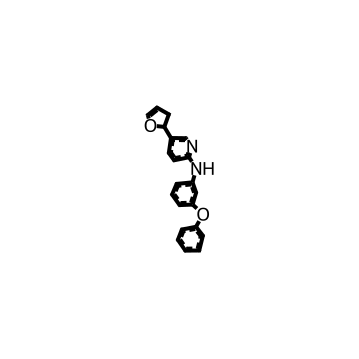 C1=COC(c2ccc(Nc3cccc(Oc4ccccc4)c3)nc2)C1